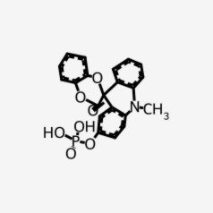 CN1c2ccccc2C2(Oc3ccccc3OC2=O)c2cc(OP(=O)(O)O)ccc21